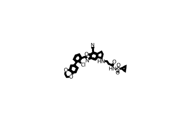 N#Cc1c2c(cc3nc(-c4cccc(-c5ccc6c(c5)OCCO6)c4Cl)oc13)[C@H](NCCC(=O)NS(=O)(=O)C1CC1)CC2